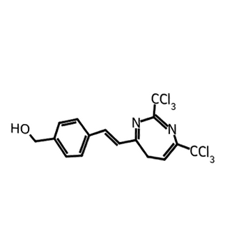 OCc1ccc(C=CC2=NC(C(Cl)(Cl)Cl)=NC(C(Cl)(Cl)Cl)=CC2)cc1